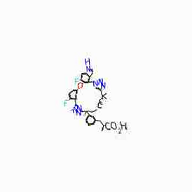 CC(Cc1cccc(C2(C)CCCCC(C)(C)c3cn(nn3)Cc3c(c(F)cc4[nH]ccc34)Oc3ccc(F)c(c3)-c3nc2nn3C)c1)C(=O)O